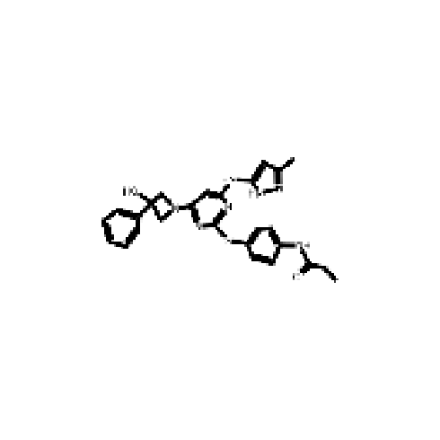 CCC(=O)Nc1ccc(Sc2nc(Nc3cc(C)n[nH]3)cc(N3CC(O)(c4ccccc4)C3)n2)cc1